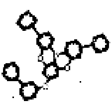 c1ccc(-c2cccc(Oc3cc4c5c(c3)Oc3cc(-c6ccccc6)ccc3B5c3ccc(-c5ccccc5)cc3O4)c2)cc1